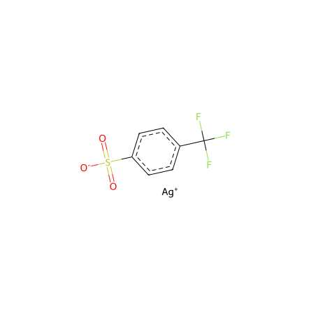 O=S(=O)([O-])c1ccc(C(F)(F)F)cc1.[Ag+]